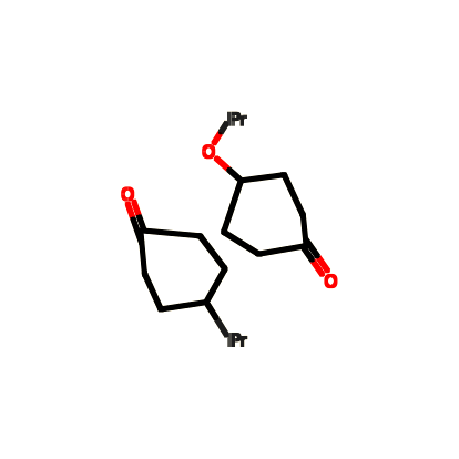 CC(C)C1CCC(=O)CC1.CC(C)OC1CCC(=O)CC1